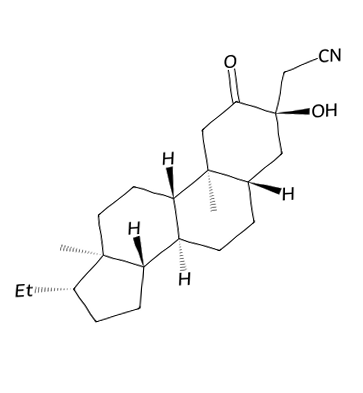 CC[C@H]1CC[C@H]2[C@@H]3CC[C@H]4C[C@@](O)(CC#N)C(=O)C[C@]4(C)[C@H]3CC[C@]12C